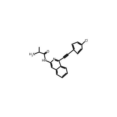 CC(N)C(=O)Nc1cc2ccccc2c(C#Cc2ccc(Cl)cc2)n1